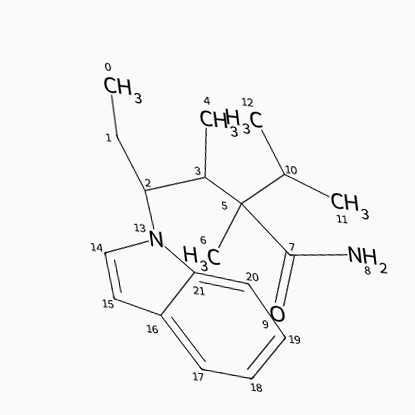 CCC(C(C)C(C)(C(N)=O)C(C)C)n1ccc2ccccc21